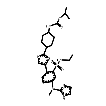 CCNS(=O)(=O)c1cc(N(C)c2ncc[nH]2)ccc1-c1cnc(C2CCC(NC(=O)OC(C)C)CC2)s1